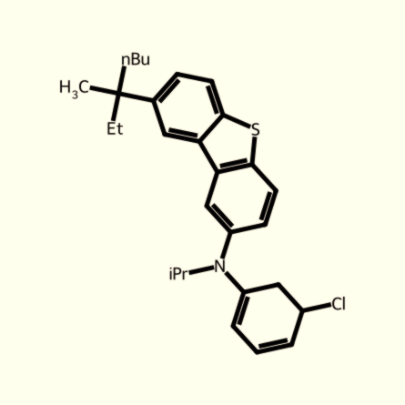 CCCCC(C)(CC)c1ccc2sc3ccc(N(C4=CC=CC(Cl)C4)C(C)C)cc3c2c1